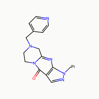 CC(C)n1ncc2c(=O)n3c(nc21)CN(Cc1ccncc1)CC3